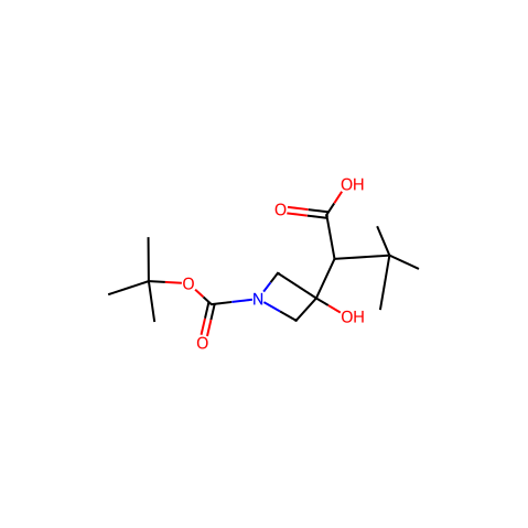 CC(C)(C)OC(=O)N1CC(O)(C(C(=O)O)C(C)(C)C)C1